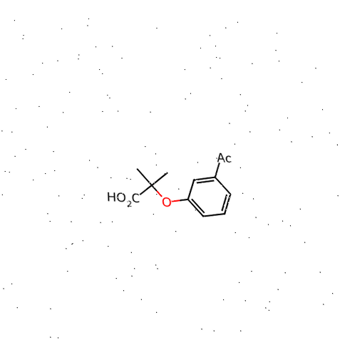 CC(=O)c1cccc(OC(C)(C)C(=O)O)c1